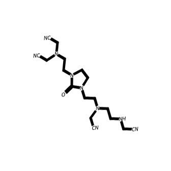 N#CCNCCN(CC#N)CCN1CCN(CCN(CC#N)CC#N)C1=O